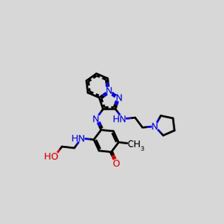 CC1=C/C(=N\c2c(NCCN3CCCC3)nn3ccccc23)C(NCCO)=CC1=O